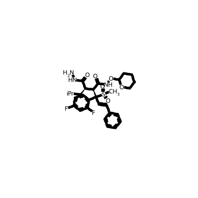 CC(C)C[C@@H](C(=O)NN)[C@@H](C(=O)NOC1CCCCO1)C(/C=C/c1ccccc1)(c1ccc(F)cc1F)S(C)(=O)=O